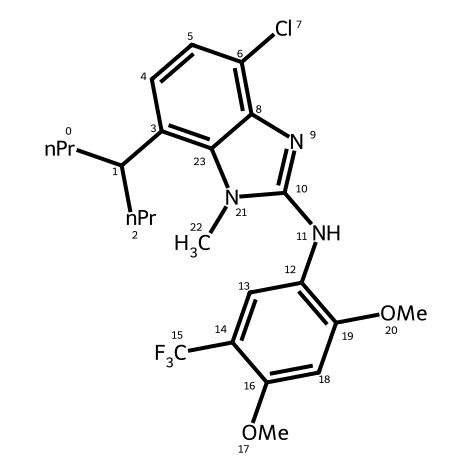 CCCC(CCC)c1ccc(Cl)c2nc(Nc3cc(C(F)(F)F)c(OC)cc3OC)n(C)c12